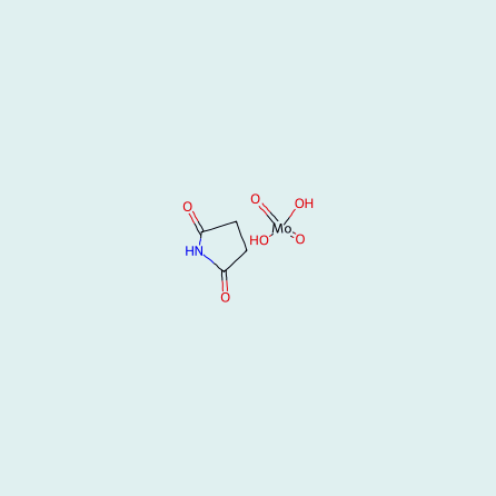 O=C1CCC(=O)N1.[O]=[Mo](=[O])([OH])[OH]